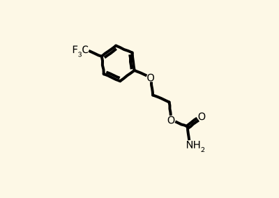 NC(=O)OCCOc1ccc(C(F)(F)F)cc1